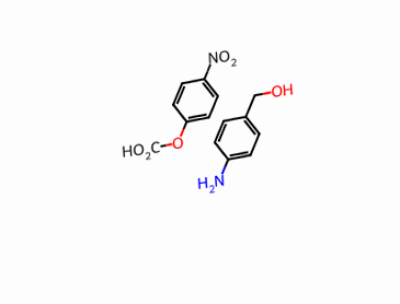 Nc1ccc(CO)cc1.O=C(O)Oc1ccc([N+](=O)[O-])cc1